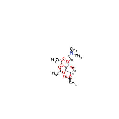 CC(=O)O[C@@H]1[C@@H](OC(C)=O)[C@H](OCCN(C)C)OC[C@H]1OC(C)=O